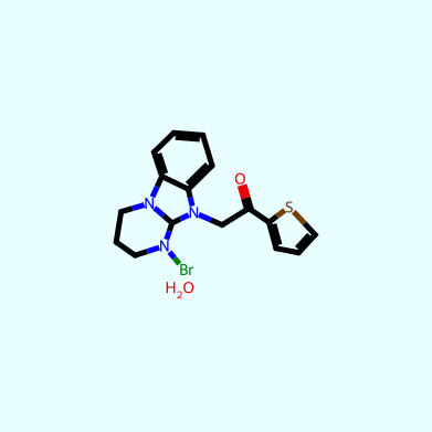 O.O=C(CN1c2ccccc2N2CCCN(Br)C21)c1cccs1